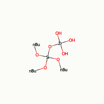 CCCCO[Si](OCCCC)(OCCCC)[O][Zr]([OH])([OH])[OH]